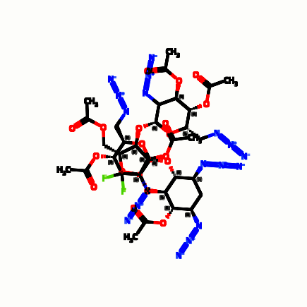 CC(=O)OC[C@H]1O[C@@H](O[C@@H]2[C@@H](OC(C)=O)[C@H](N=[N+]=[N-])C[C@H](N=[N+]=[N-])[C@H]2O[C@H]2O[C@H](CN=[N+]=[N-])[C@@H](OC(C)=O)C(F)(F)C2N=[N+]=[N-])[C@H](OC(C)=O)[C@@H]1O[C@H]1O[C@@H](CN=[N+]=[N-])[C@@H](OC(C)=O)[C@H](OC(C)=O)C1N=[N+]=[N-]